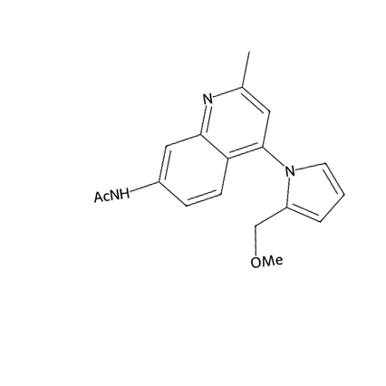 COCc1cccn1-c1cc(C)nc2cc(NC(C)=O)ccc12